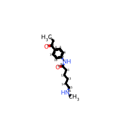 CCC(=O)c1ccc(NC(=O)CCCCCNC)cc1